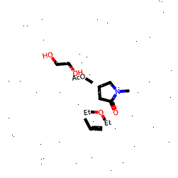 C=CC.CCOCC.CN1CCCC1=O.COC(C)=O.OCCO